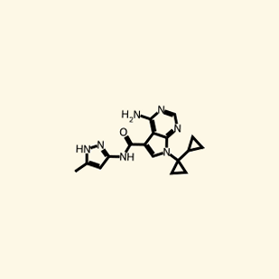 Cc1cc(NC(=O)c2cn(C3(C4CC4)CC3)c3ncnc(N)c23)n[nH]1